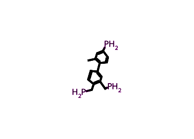 Cc1cc(P)ccc1-c1ccc(CP)c(CP)c1